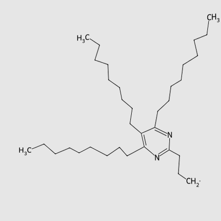 [CH2]CCc1nc(CCCCCCCCC)c(CCCCCCCCC)c(CCCCCCCCC)n1